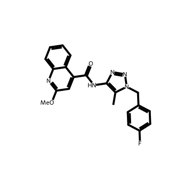 COc1cc(C(=O)Nc2nnn(Cc3ccc(F)cc3)c2C)c2ccccc2n1